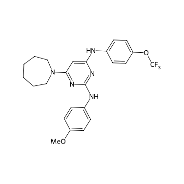 COc1ccc(Nc2nc(Nc3ccc(OC(F)(F)F)cc3)cc(N3CCCCCC3)n2)cc1